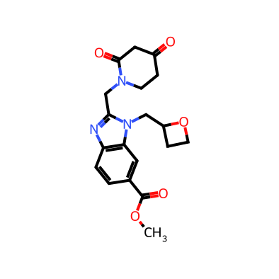 COC(=O)c1ccc2nc(CN3CCC(=O)CC3=O)n(CC3CCO3)c2c1